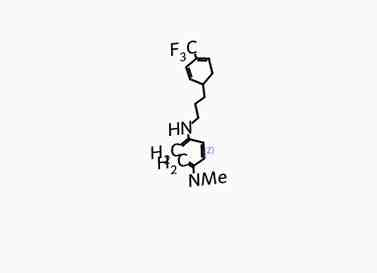 C=C(/C=C\C(=C)NCCCC1C=CC(C(F)(F)F)=CC1)NC